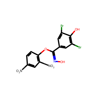 O=[N+]([O-])c1ccc(OC(=NO)c2cc(Br)c(O)c(Br)c2)c([N+](=O)[O-])c1